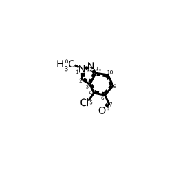 Cn1cc2c(Cl)c(C=O)ccc2n1